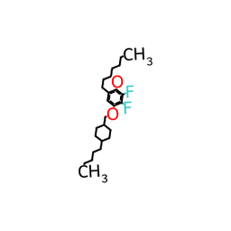 CCCCCC1CCC(COc2cc3c(c(F)c2F)OC(CCCC)CC3)CC1